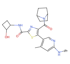 Cc1cc(NC(C)C)ncc1-c1sc(C(=O)NC2CCC2O)nc1C(=O)N1C2CCC1CC2